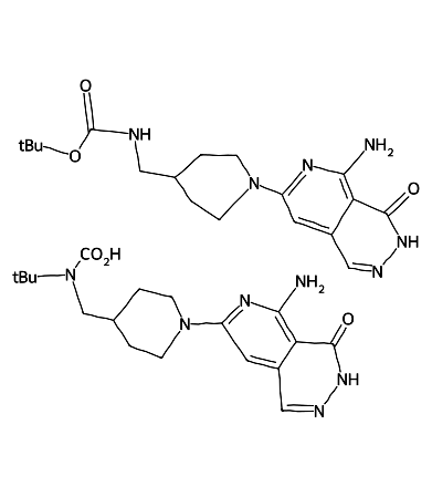 CC(C)(C)N(CC1CCN(c2cc3cn[nH]c(=O)c3c(N)n2)CC1)C(=O)O.CC(C)(C)OC(=O)NCC1CCN(c2cc3cn[nH]c(=O)c3c(N)n2)CC1